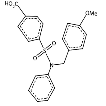 COc1ccc(CN(c2ccccc2)S(=O)(=O)c2ccc(C(=O)O)cc2)cc1